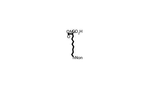 CCCCCCCCCCCCCCCCCC(C(=O)O)C(=O)OC